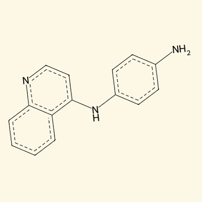 Nc1ccc(Nc2ccnc3ccccc23)cc1